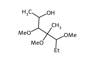 CCC(OC)C(C)(OC)C(OC)C(C)O